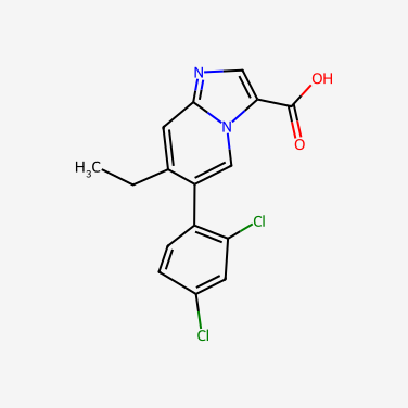 CCc1cc2ncc(C(=O)O)n2cc1-c1ccc(Cl)cc1Cl